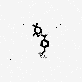 CC1(C)CC2CC(C)(CN2C(=O)c2ccc(CNC(=O)O)cc2)C1